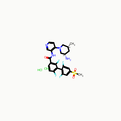 C[C@@H]1C[C@H](N)CN(c2ccncc2NC(=O)c2ccc(F)c(-c3c(F)cc(S(C)(=O)=O)cc3F)c2F)C1.Cl.Cl